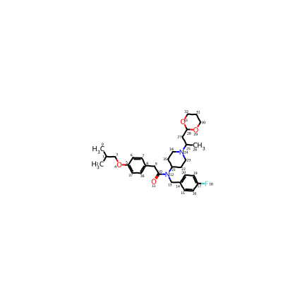 CC(C)COc1ccc(CC(=O)N(Cc2ccc(F)cc2)C2CCN(C(C)CC3OCCCO3)CC2)cc1